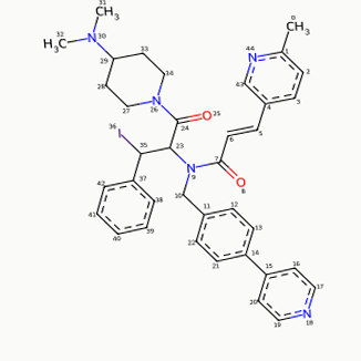 Cc1ccc(C=CC(=O)N(Cc2ccc(-c3ccncc3)cc2)C(C(=O)N2CCC(N(C)C)CC2)C(I)c2ccccc2)cn1